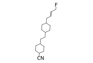 N#CC1CCC(CCC2CCC(C/C=C/CF)CC2)CC1